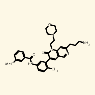 COc1cccc(C(=O)Nc2ccc(C)c(-c3cc4cnc(CCCN)cc4n(CCN4CCOCC4)c3=O)c2)c1